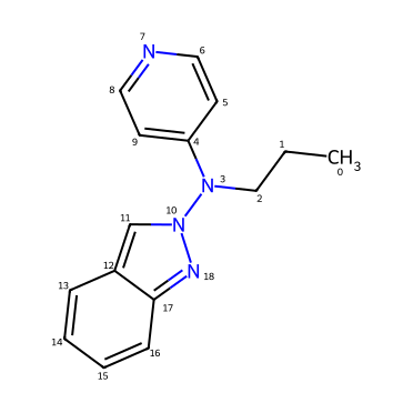 CCCN(c1ccncc1)n1cc2ccccc2n1